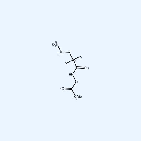 COC(=O)CNC(=O)C(C)(C)CO[N+](=O)[O-]